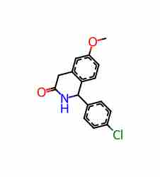 COc1ccc2c(c1)CC(=O)NC2c1ccc(Cl)cc1